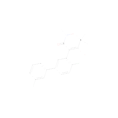 CN1OC(C)(C)C(O)=C(c2cc(-c3cccc(Cl)c3)ccc2Cl)C1=O